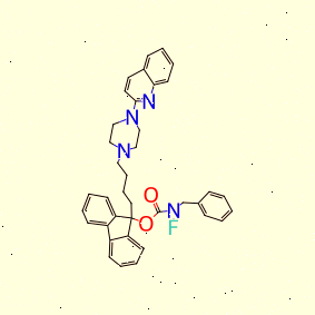 O=C(OC1(CCCCN2CCN(c3ccc4ccccc4n3)CC2)c2ccccc2-c2ccccc21)N(F)Cc1ccccc1